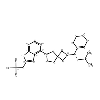 CC(C)C[C@@H](C1=CCOCC1)N1CC2(CCN(c3ncnc4sc(CC(F)(F)F)cc34)C2)C1